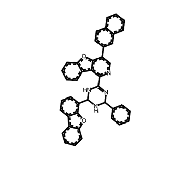 c1ccc(C2N=C(c3ncc(-c4ccc5ccccc5c4)c4oc5ccccc5c34)NC(c3cccc4c3oc3ccccc34)N2)cc1